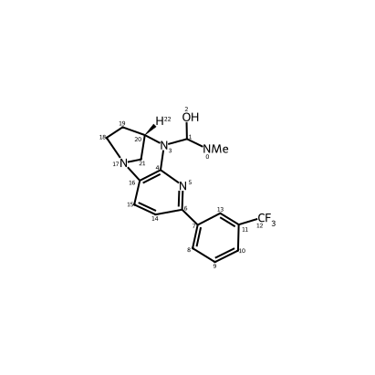 CNC(O)N1c2nc(-c3cccc(C(F)(F)F)c3)ccc2N2CC[C@H]1C2